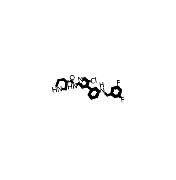 O=C(Nc1cc(-c2cccc(NCc3cc(F)cc(F)c3)c2)c(Cl)cn1)[C@@H]1CCCNC1